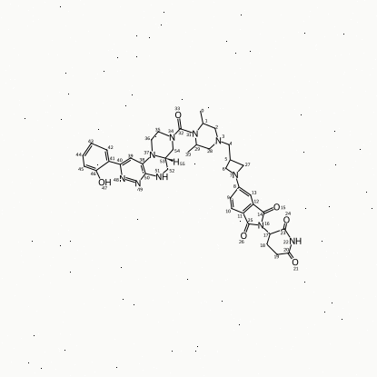 CC1CN(CC2CN(c3ccc4c(c3)C(=O)N(C3CCC(=O)NC3=O)C4=O)C2)CC(C)N1C(=O)N1CCN2c3cc(-c4ccccc4O)nnc3NC[C@H]2C1